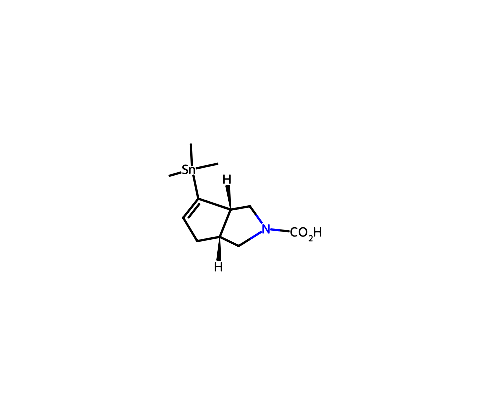 [CH3][Sn]([CH3])([CH3])[C]1=CC[C@H]2CN(C(=O)O)C[C@@H]12